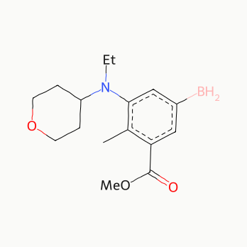 Bc1cc(C(=O)OC)c(C)c(N(CC)C2CCOCC2)c1